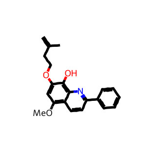 C=C(C)CCOc1cc(OC)c2ccc(-c3ccccc3)nc2c1O